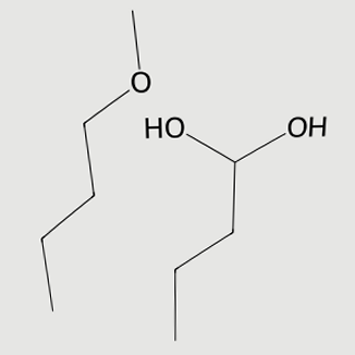 CCCC(O)O.CCCCOC